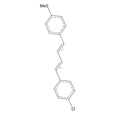 CSc1ccc(/C=C/C=C/c2ccc(Cl)cc2)cc1